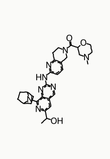 CC(O)c1cc2cnc(Nc3ccc4c(n3)CCN(C(=O)C3CN(C)CCO3)C4)nc2c(N2C3CCC2CC3)n1